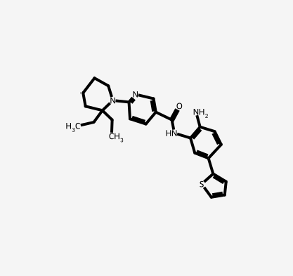 CCC1(CC)C[CH]CCN1c1ccc(C(=O)Nc2cc(-c3cccs3)ccc2N)cn1